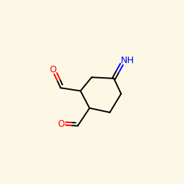 N=C1CCC(C=O)C(C=O)C1